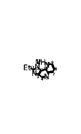 CCc1nc2cnc3cccnc3c2n1N